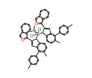 Cc1ccc(-c2c(C)ccc3c2C=C(c2occ4ccccc24)[CH]3[Zr]([Cl])([Cl])([CH]2C(c3occ4ccccc34)=Cc3c2ccc(C)c3-c2ccc(C)cc2)=[Si](C)C)cc1